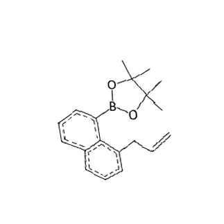 C=CCc1cccc2cccc(B3OC(C)(C)C(C)(C)O3)c12